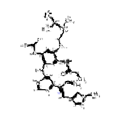 C=CC(=O)Nc1cc(Nc2cc(/C(C=C)=C/c3cnn(C)c3)ncn2)c(OC(F)F)cc1OCCN(C)C(C)C